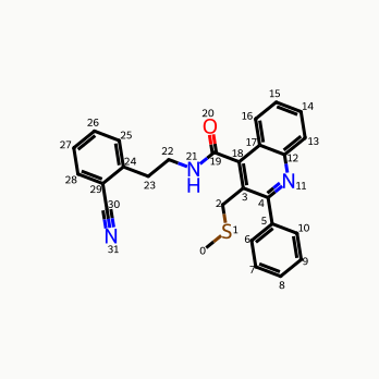 CSCc1c(-c2ccccc2)nc2ccccc2c1C(=O)NCCc1ccccc1C#N